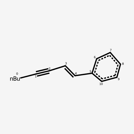 CCCCC#CC=Cc1ccccc1